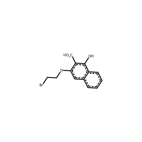 O=C(O)c1c(OCCBr)cc2ccccc2c1O